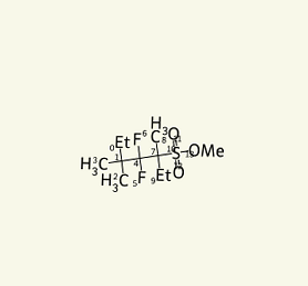 CCC(C)(C)C(F)(F)C(C)(CC)S(=O)(=O)OC